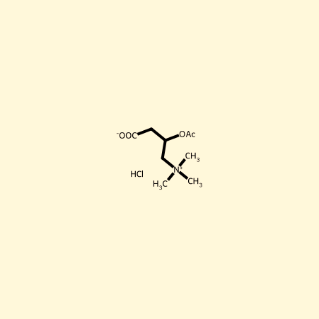 C[N+](C)(C)CC(CC(=O)[O-])O[13C]([13CH3])=O.Cl